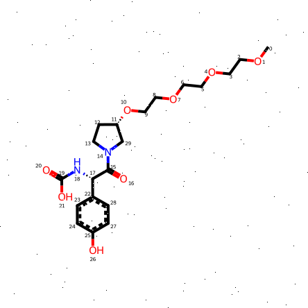 COCCOCCOCCO[C@H]1CCN(C(=O)[C@@H](NC(=O)O)c2ccc(O)cc2)C1